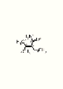 CCC(C(N)=O)=C(C)C